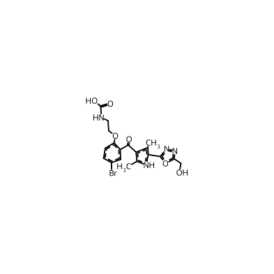 Cc1[nH]c(-c2nnc(CO)o2)c(C)c1C(=O)c1cc(Br)ccc1OCCNC(=O)O